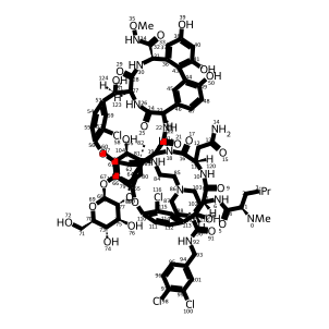 CN[C@H](CC(C)C)C(=O)N[C@H]1C(=O)N[C@@H](CC(N)=O)C(=O)N[C@H]2C(=O)N[C@H]3C(=O)N[C@H](C(=O)N[C@@H](C(=O)NOC)c4cc(O)cc(O)c4-c4cc3ccc4O)[C@H](O)c3ccc(c(Cl)c3)Oc3cc2cc(c3O[C@@H]2O[C@H](CO)[C@@H](O)[C@H](O)[C@H]2O[C@H]2C[C@](C)(NCCN3CCN(C(=O)NCc4ccc(Cl)c(Cl)c4)CC3)[C@H](O)[C@H](C)O2)Oc2ccc(cc2Cl)[C@H]1O